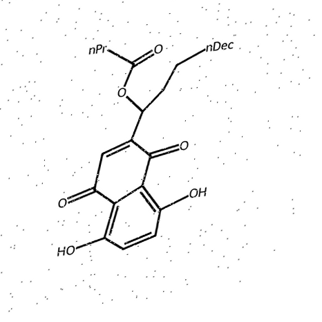 CCCCCCCCCCCCC(OC(=O)CCC)C1=CC(=O)c2c(O)ccc(O)c2C1=O